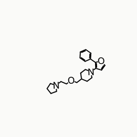 c1ccc(-c2occc2N2CCC(COCCN3CCCC3)CC2)cc1